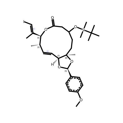 COc1ccc([C@H]2O[C@H]3/C=C/[C@H](C)[C@@H](/C(C)=C/I)OC(=O)CC(O[Si](C)(C)C(C)(C)C)CC[C@@]3(C)O2)cc1